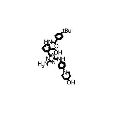 CC(C)(C)c1ccc(C(=O)Nc2cccc(-c3nc(N)nc(Nc4ccc(N5CCC(O)CC5)cc4)n3)c2CO)cc1